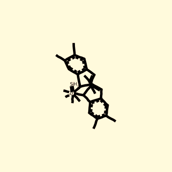 CC1=Cc2cc(C)c(C)cc2[CH]1[Zr]([CH3])([CH3])([CH3])([CH3])(=[SiH2])[CH]1C(C)=Cc2cc(C)c(C)cc21